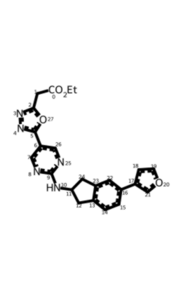 CCOC(=O)Cc1nnc(-c2cnc(NC3Cc4ccc(-c5ccoc5)cc4C3)nc2)o1